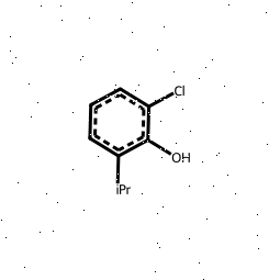 CC(C)c1cccc(Cl)c1O